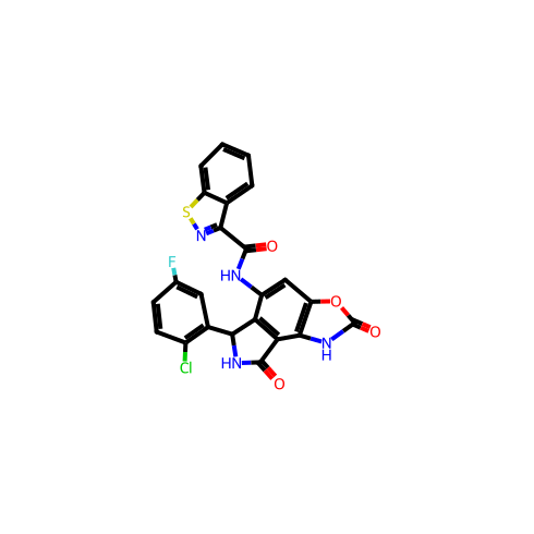 O=C(Nc1cc2oc(=O)[nH]c2c2c1C(c1cc(F)ccc1Cl)NC2=O)c1nsc2ccccc12